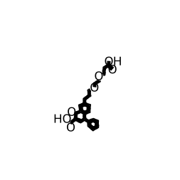 O=C(O)CCOCCOCCCc1ccc2c(c1)C(=O)C(C(=O)O)=CC2c1ccccc1